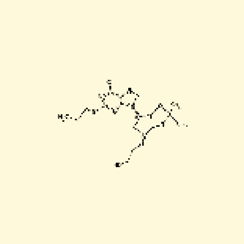 CCCSc1nc(Cl)c2nnn([C@@H]3C[C@H](OCCO)C4OC(C)(C)OC43)c2n1